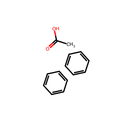 CC(=O)O.c1ccccc1.c1ccccc1